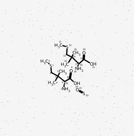 CSCC(C)(C)[C@H](N)C(=O)O.CSCC(C)(C)[C@H](N)C(=O)O.O=S